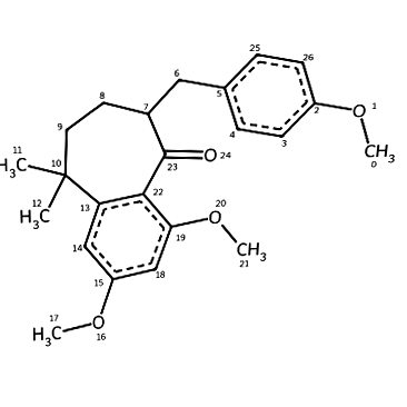 COc1ccc(CC2CCC(C)(C)c3cc(OC)cc(OC)c3C2=O)cc1